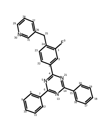 Fc1cc(-c2nc(-c3ccccc3)nc(-c3ccccc3)n2)ccc1Cc1cccnc1